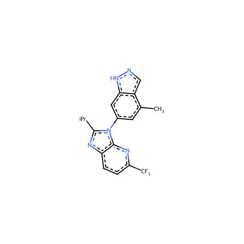 Cc1cc(-n2c(C(C)C)nc3ccc(C(F)(F)F)nc32)cc2[nH]ncc12